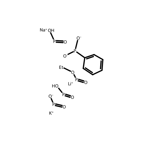 CCOP=O.O=PO.O=PO.O=P[O-].[K+].[Li+].[Na+].[O-]P([O-])c1ccccc1